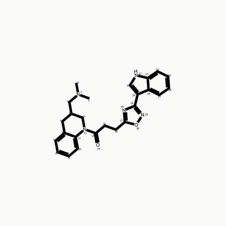 CN(C)CC1Cc2ccccc2N(C(=O)CCc2nc(-c3c[nH]c4ccccc34)no2)C1